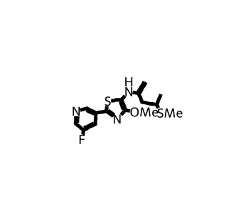 C=C(CC(C)SC)Nc1sc(-c2cncc(F)c2)nc1OC